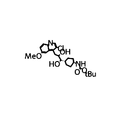 COc1ccc2ncc(Cl)c(CC(O)C(O)[C@H]3CC[C@H](NC(=O)OC(C)(C)C)CC3)c2c1